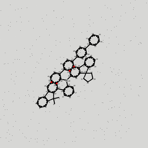 CC1(C)c2ccccc2-c2cccc(-c3ccccc3N(c3ccc4c(c3)C3(CCCC3)c3ccccc3-4)c3ccccc3-c3ccc(-c4ccc(-c5ccccc5)cc4)cc3)c21